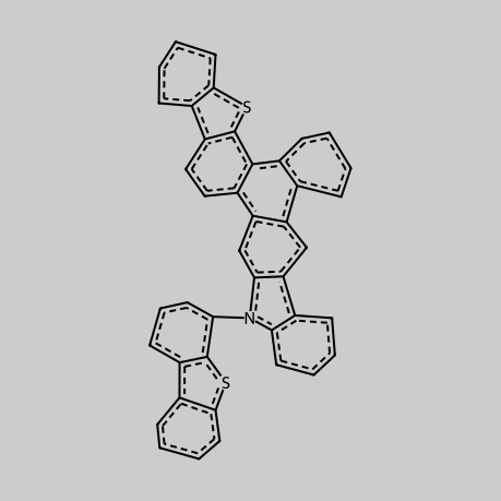 c1ccc2c(c1)sc1c(-n3c4ccccc4c4cc5c6ccccc6c6c(ccc7c8ccccc8sc76)c5cc43)cccc12